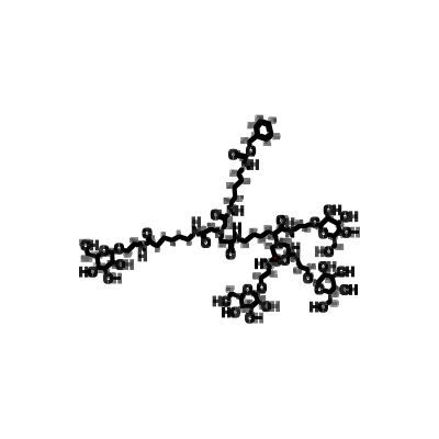 O=C(CCCCCNC(=O)CN(CC(=O)NCCCCCNC(=O)OCc1ccccc1)CC(=O)NCCCC[C@@H](C(=O)NCCO[C@H]1O[C@H](CO)[C@@H](O)[C@H](O)[C@@H]1O)N(CC(=O)NCCO[C@H]1O[C@H](CO)[C@@H](O)[C@H](O)[C@@H]1O)CC(=O)NCCO[C@H]1O[C@H](CO)[C@@H](O)[C@H](O)[C@@H]1O)NCCO[C@H]1O[C@H](CO)[C@@H](O)[C@H](O)[C@@H]1O